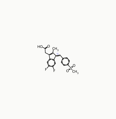 CC1=C(CC(=O)O)c2cc(F)c(F)cc2/C1=C\c1ccc(S(C)(=O)=O)cc1